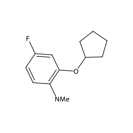 CNc1ccc(F)cc1OC1CCCC1